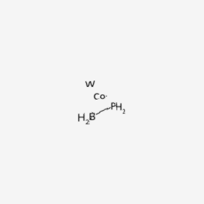 BP.[Co].[W]